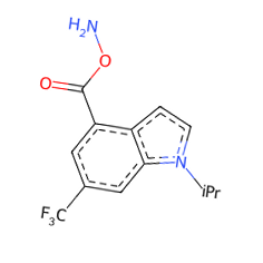 CC(C)n1ccc2c(C(=O)ON)cc(C(F)(F)F)cc21